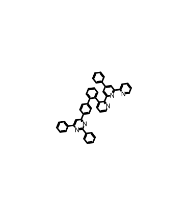 c1ccc(-c2cc(-c3ccccn3)nc(-c3ncccc3-c3ccccc3-c3ccc(-c4cc(-c5ccccc5)nc(-c5ccccc5)n4)cc3)c2)cc1